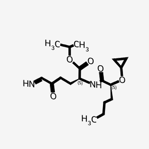 CCCC[C@H](OC1CC1)C(=O)N[C@@H](CCC(=O)C=N)C(=O)OC(C)C